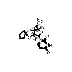 C=C[C@]1(CC)O[C@@H](n2ccc(=O)[nH]c2=O)[C@@H]2OC3(CCCC3)O[C@@H]21